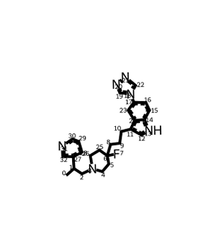 CC(CN1CCC(F)(CCCc2c[nH]c3ccc(-n4cnnc4)cc23)CC1)c1cccnc1